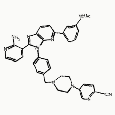 CC(=O)Nc1cccc(-c2ccc3nc(-c4cccnc4N)n(-c4ccc(CN5CCN(c6ccc(C#N)nc6)CC5)cc4)c3n2)c1